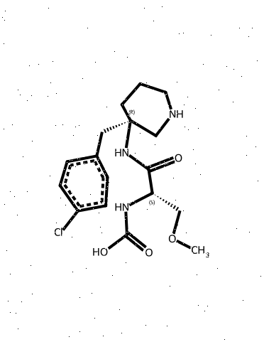 COC[C@H](NC(=O)O)C(=O)N[C@@]1(Cc2ccc(Cl)cc2)CCCNC1